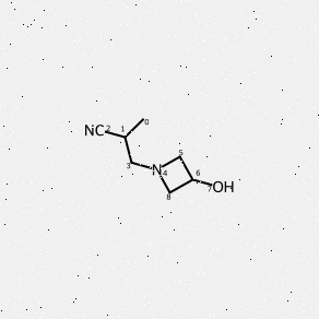 CC(C#N)CN1CC(O)C1